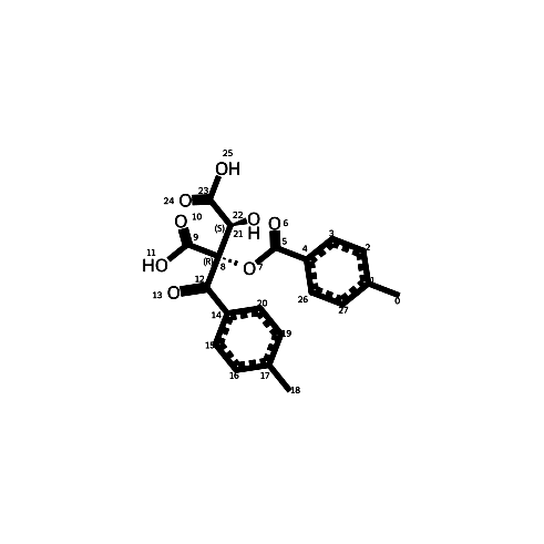 Cc1ccc(C(=O)O[C@@](C(=O)O)(C(=O)c2ccc(C)cc2)[C@H](O)C(=O)O)cc1